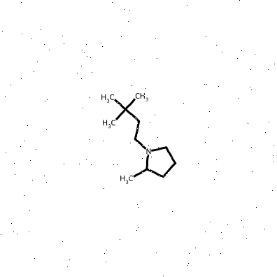 CC1CCCN1CCC(C)(C)C